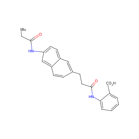 CC(C)(C)CC(=O)Nc1ccc2cc(CCC(=O)Nc3ccccc3C(=O)O)ccc2c1